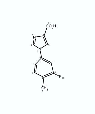 Cc1ccc(-n2cnc(C(=O)O)c2)cc1F